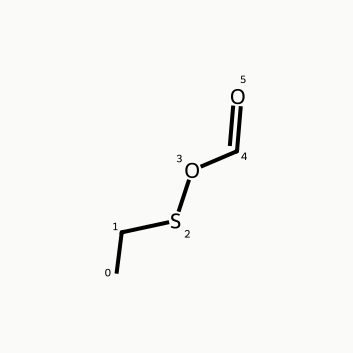 CCSOC=O